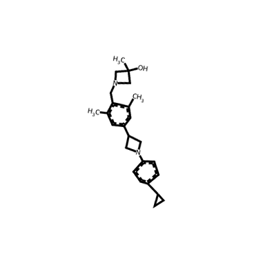 Cc1cc(C2CN(c3ccc(C4CC4)cc3)C2)cc(C)c1CN1CC(C)(O)C1